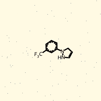 FC(F)(F)c1cccc(N2CC=CN2)c1